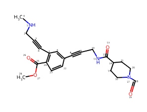 CNCC#Cc1cc(C#CCNC(=O)C2CCN(C=O)CC2)ccc1C(=O)OC